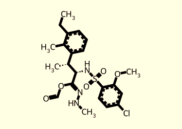 CCc1cccc([C@@H](C)[C@H](NS(=O)(=O)c2ccc(Cl)cc2OC)/C(=N/NC)OC=O)c1C